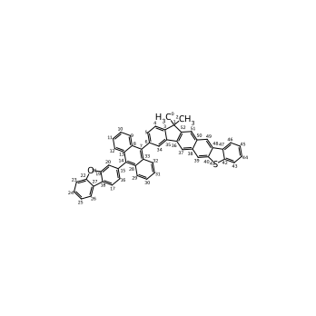 CC1(C)c2ccc(-c3c4ccccc4c(-c4ccc5c(c4)oc4ccccc45)c4ccccc34)cc2-c2cc3cc4sc5ccccc5c4cc3cc21